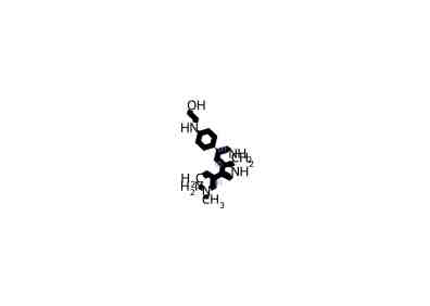 C=C/C(=C\N(C)N)c1c[nH]c(=C)/c1=C\C(=C/N)[C@H]1CC[C@H](NCCO)CC1